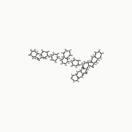 c1ccc2cc3c(cc2c1)nc1c2sc4cc5ccccc5cc4c2cc(-c2ccc(-c4ccc(-c5ccc(-c6ccc7c(c6)sc6ccccc67)cc5)c5ccccc45)cc2)n31